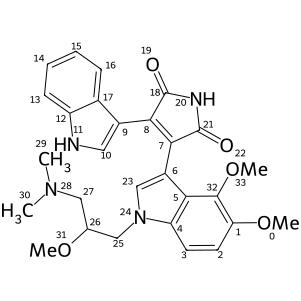 COc1ccc2c(c(C3=C(c4c[nH]c5ccccc45)C(=O)NC3=O)cn2CC(CN(C)C)OC)c1OC